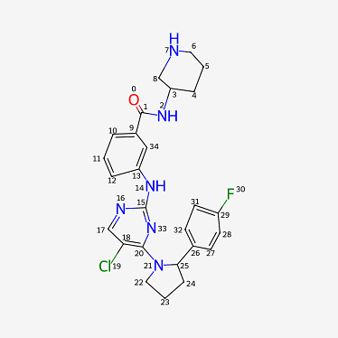 O=C(NC1CCCNC1)c1cccc(Nc2ncc(Cl)c(N3CCCC3c3ccc(F)cc3)n2)c1